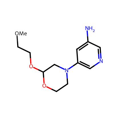 COCCOC1CN(c2cncc(N)c2)CCO1